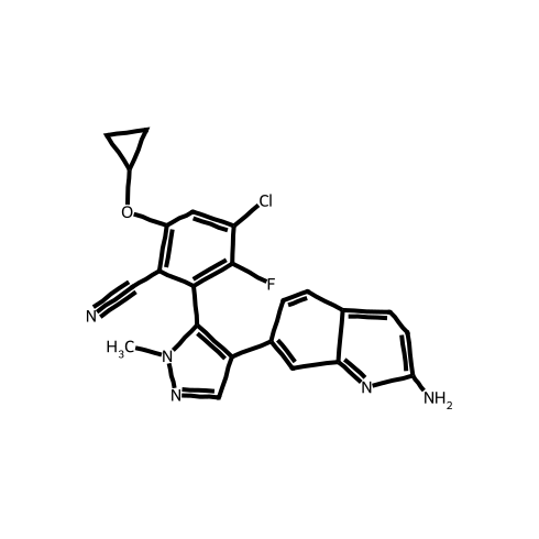 Cn1ncc(-c2ccc3ccc(N)nc3c2)c1-c1c(F)c(Cl)cc(OC2CC2)c1C#N